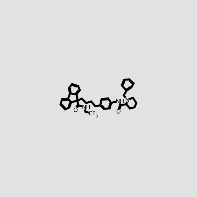 O=C(Nc1ccc(CCCCC2(C(=O)NCC(F)(F)F)c3ccccc3-c3ccccc32)cc1)C1CCCCN1Cc1ccccc1